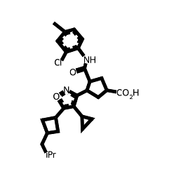 Cc1ccc(NC(=O)C2CC(C(=O)O)CC2c2noc(C3CC(CC(C)C)C3)c2C2CC2)c(Cl)c1